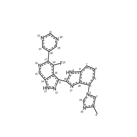 Cc1cn(-c2cccc3[nH]c(-c4n[nH]c5cnc(-c6cncnc6)c(F)c45)nc23)cn1